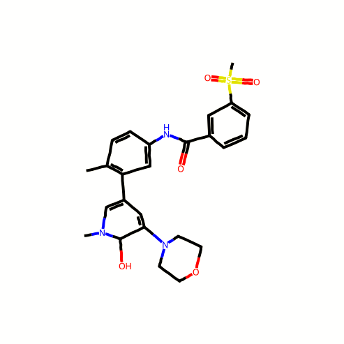 Cc1ccc(NC(=O)c2cccc(S(C)(=O)=O)c2)cc1C1=CN(C)C(O)C(N2CCOCC2)=C1